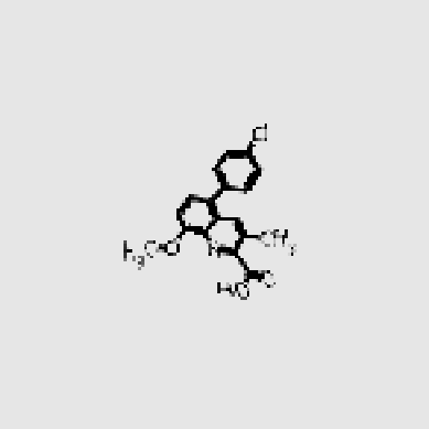 COc1ccc(-c2ccc(Cl)cc2)c2cc(C)c(C(=O)O)nc12